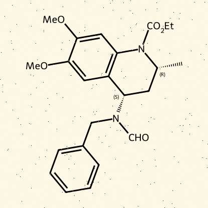 CCOC(=O)N1c2cc(OC)c(OC)cc2[C@@H](N(C=O)Cc2ccccc2)C[C@H]1C